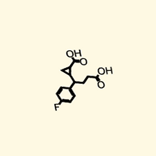 O=C(O)CCC(c1ccc(F)cc1)C1CC1C(=O)O